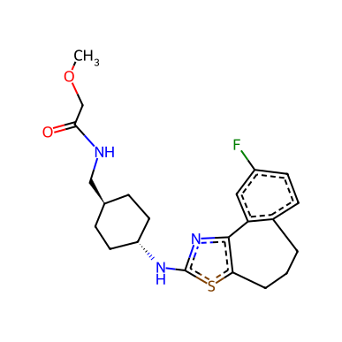 COCC(=O)NC[C@H]1CC[C@H](Nc2nc3c(s2)CCCc2ccc(F)cc2-3)CC1